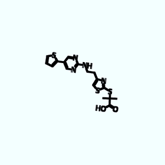 CC(C)(Sc1nc(CCNc2ncc(-c3cccs3)cn2)cs1)C(=O)O